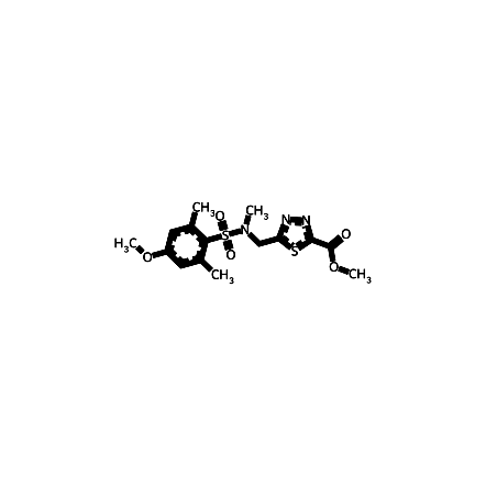 COC(=O)c1nnc(CN(C)S(=O)(=O)c2c(C)cc(OC)cc2C)s1